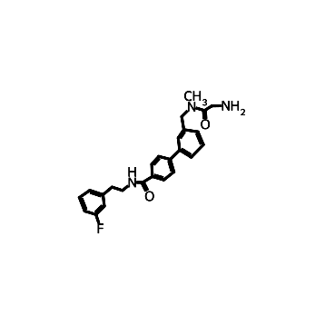 CN(Cc1cccc(-c2ccc(C(=O)NCCc3cccc(F)c3)cc2)c1)C(=O)CN